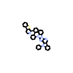 c1ccc(-n2c3ccccc3c3cnc4c(nc5n(-c6ccccc6-c6ccccc6-c6nccc7c6sc6ccccc67)c6ccccc6n45)c32)cc1